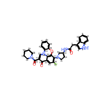 O=C(Cc1c[nH]c2ccccc12)NC1CCN(c2c(F)cc3c(=O)c(C(=O)N4CCCCC4)cn4c3c2Oc2ccccc2-4)C1